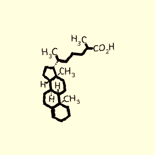 CC(CCCC(C)[C@H]1CC[C@H]2[C@@H]3CCC4=CCCC[C@]4(C)[C@H]3CC[C@]12C)C(=O)O